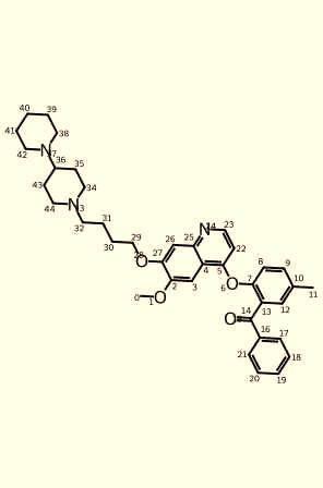 COc1cc2c(Oc3ccc(C)cc3C(=O)c3ccccc3)ccnc2cc1OCCCCN1CCC(N2CCCCC2)CC1